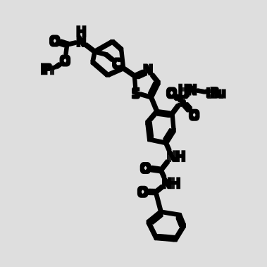 CC(C)OC(=O)NC12CCC(c3ncc(-c4ccc(NC(=O)NC(=O)c5ccccc5)cc4S(=O)(=O)NC(C)(C)C)s3)(CC1)CC2